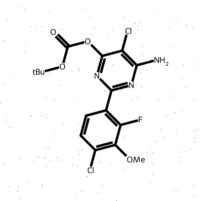 COc1c(Cl)ccc(-c2nc(N)c(Cl)c(OC(=O)OC(C)(C)C)n2)c1F